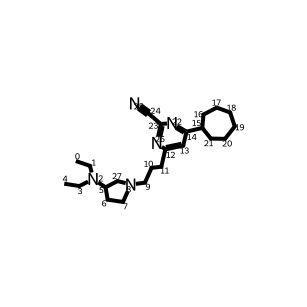 CCN(CC)C1CCN(CCCc2cc(C3CCCCCC3)nc(C#N)n2)C1